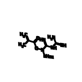 C=C(C)C(=O)ON(CCCCCC)C(=N)NC(=N)N